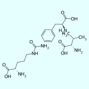 CC(C)[C@H](N)C(=O)O.NC(=O)NCCC[C@H](N)C(=O)O.N[C@@H](Cc1ccccc1)C(=O)O